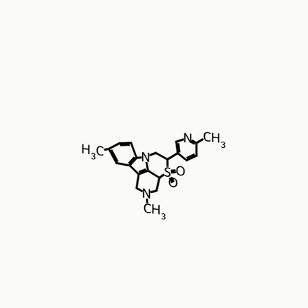 Cc1ccc2c(c1)c1c3n2CC(c2ccc(C)nc2)S(=O)(=O)C3CN(C)C1